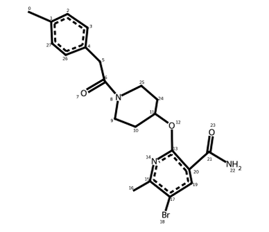 Cc1ccc(CC(=O)N2CCC(Oc3nc(C)c(Br)cc3C(N)=O)CC2)cc1